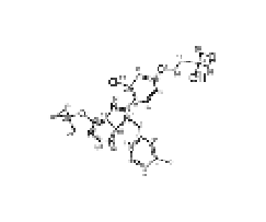 Cc1ccnc(Cn2c(-c3ccc(OCCC4(O)COC4)cc3Cl)nc3c(OC4(C)CC4)ncnc32)c1